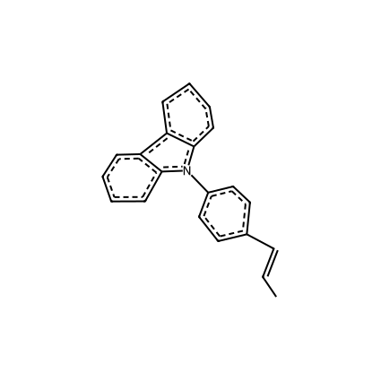 C/C=C/c1ccc(-n2c3ccccc3c3ccccc32)cc1